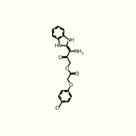 NC(C(=O)COC(=O)COc1ccc(Cl)cc1)=C1Nc2ccccc2N1